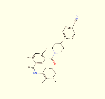 C=C(NC1=C(C)C(C)CCC1)c1cc(C(=O)N2CCC(c3ccc(C#N)cc3)CC2)c(C)cc1C